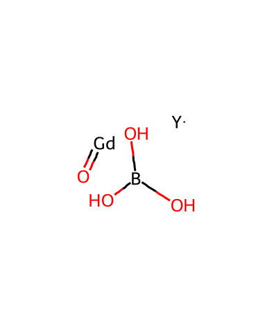 OB(O)O.[O]=[Gd].[Y]